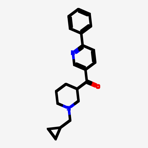 O=C(c1ccc(-c2ccccc2)nc1)C1CCCN(CC2CC2)C1